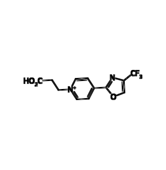 O=C(O)CC[n+]1ccc(-c2nc(C(F)(F)F)co2)cc1